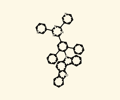 c1ccc(-c2cc(-c3nc(-c4cccnc4)nc(-c4cccnc4)n3)cc(-c3ccccc3)c2-n2c3ccccc3c3c4oc5ccccc5c4ccc32)cc1